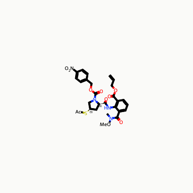 C=CCOC(=O)c1cccc(C(=O)N(C)OC)c1NC(=O)[C@@H]1C[C@H](SC(C)=O)CN1C(=O)OCc1ccc([N+](=O)[O-])cc1